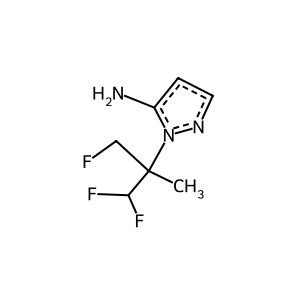 CC(CF)(C(F)F)n1nccc1N